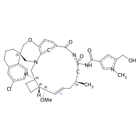 CO[C@H]1/C=C/C[C@H](C)CS(=O)(NC(=O)c2cc(CO)n(C)c2)=NC(=O)c2ccc3c(c2)N(C[C@@H]2CC[C@H]21)C[C@@]1(CCCc2cc(Cl)ccc21)CO3